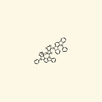 Cn1c(-n2c3ccccc3c3ccc4c(c5ccccc5n4-c4ccccc4)c32)nc2c(N3c4ccc5c6ccccc6n(-c6ccccc6)c5c4C4C=CC=CC43)ncnc21